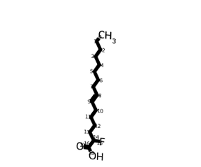 CCCCCCCC/C=C/CCCCC(F)C(=O)O